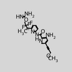 COCC#Cc1cnc(C(=O)Nc2ccc(F)c([C@H](C)C(F)(F)COC(=N)N)n2)c(N)c1